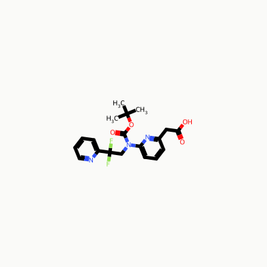 CC(C)(C)OC(=O)N(CC(F)(F)c1ccccn1)c1cccc(CC(=O)O)n1